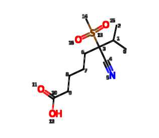 CC(C)C(C#N)(CCCCC(=O)O)S(C)(=O)=O